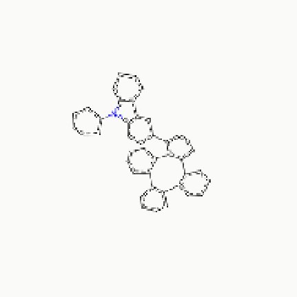 c1ccc(-n2c3ccccc3c3cc(-c4cccc5c4-c4ccccc4-c4ccccc4-c4ccccc4-5)ccc32)cc1